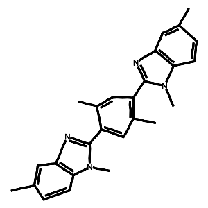 Cc1ccc2c(c1)nc(-c1cc(C)c(-c3nc4cc(C)ccc4n3C)cc1C)n2C